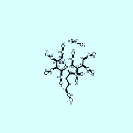 CC(=O)[O-].CCCC[P+](C(=C=O)CCC=C=O)(C(=C=O)C(=C=O)C(=C=O)C=C=O)C(=C=O)C(=C=O)C(=C=O)C=C=O.[Re]